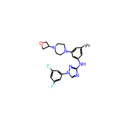 CCCc1cc(Nc2ncn(-c3cc(F)cc(F)c3)n2)cc(N2CCN(C3COC3)CC2)c1